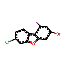 Clc1ccc2c(c1)oc1cc(Br)cc(I)c12